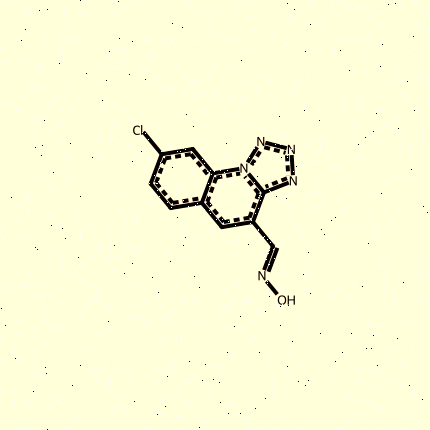 ON=Cc1cc2ccc(Cl)cc2n2nnnc12